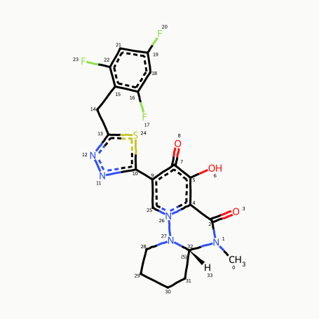 CN1C(=O)c2c(O)c(=O)c(-c3nnc(Cc4c(F)cc(F)cc4F)s3)cn2N2CCCC[C@@H]12